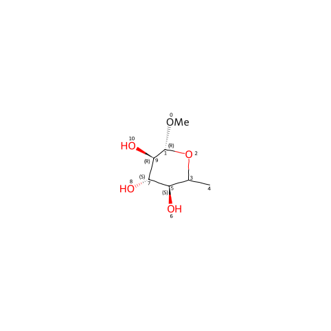 CO[C@@H]1OC(C)[C@@H](O)[C@H](O)[C@H]1O